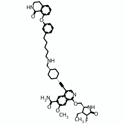 CC[C@@H]1[C@H](F)C(=O)N[C@@H]1COc1ncc(C#C[C@H]2CC[C@H](CNCCCCCc3cccc(Oc4cccc5c4C(=O)NCC5)c3)CC2)c2cc(C(N)=O)c(OC)cc12